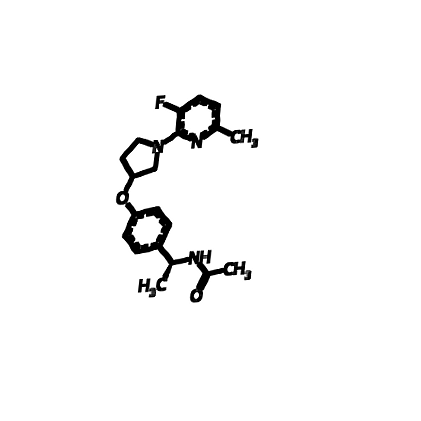 CC(=O)N[C@@H](C)c1ccc(OC2CCN(c3nc(C)ccc3F)C2)cc1